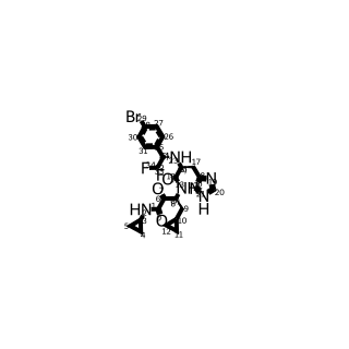 O=C(NC1CC1)C(=O)[C@H](CC1CC1)NC(=O)[C@H](Cc1nc[nH]n1)N[C@@H](c1ccc(Br)cc1)C(F)F